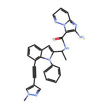 CC(NC(=O)c1c(N)nc2cccnn12)c1cc2cccc(C#Cc3cnn(C)c3)c2n1-c1ccccc1